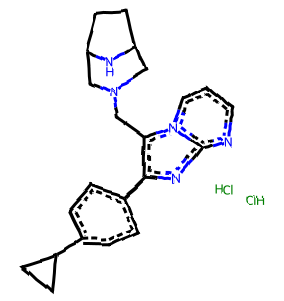 Cl.Cl.c1cnc2nc(-c3ccc(C4CC4)cc3)c(CN3CC4CCC(C3)N4)n2c1